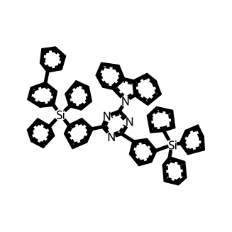 c1ccc(-c2cccc([Si](c3ccccc3)(c3ccccc3)c3cccc(-c4nc(-c5cccc([Si](c6ccccc6)(c6ccccc6)c6ccccc6)c5)nc(-n5c6ccccc6c6ccccc65)n4)c3)c2)cc1